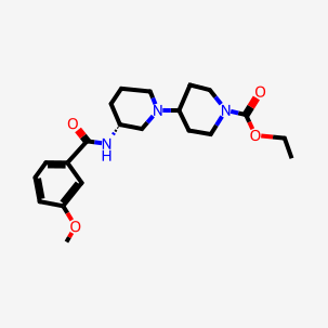 CCOC(=O)N1CCC(N2CCC[C@@H](NC(=O)c3cccc(OC)c3)C2)CC1